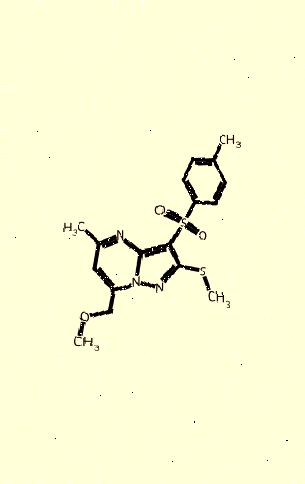 COCc1cc(C)nc2c(S(=O)(=O)c3ccc(C)cc3)c(SC)nn12